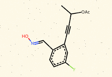 CC(=O)OC(C)C#Cc1cc(F)ccc1C=NO